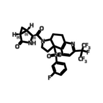 O=C1N[C@H](C(=O)N2CCC3(S(=O)(=O)c4cccc(F)c4)c4ccc(C(F)(C(F)(F)F)C(F)(F)F)nc4CCC23)[C@H]2C[C@@H]12